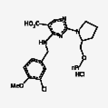 CCCOC[C@@H]1CCCN1c1ncc(C(=O)O)c(NCc2ccc(OC)c(Cl)c2)n1.Cl